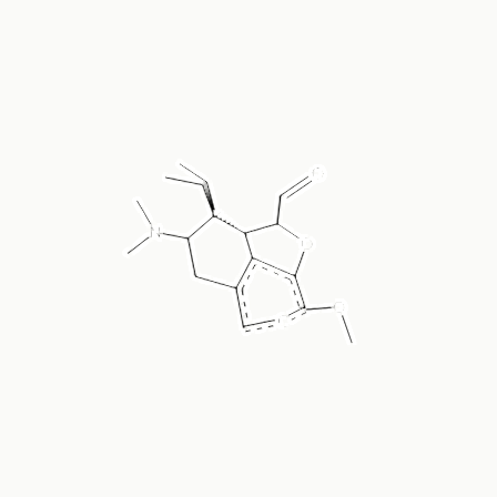 CCC[C@@]12c3c(ccc(OC)c3OC1C=O)CC(N(C)C)C2CC